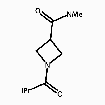 CNC(=O)C1CN(C(=O)C(C)C)C1